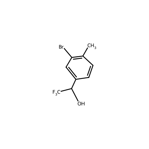 Cc1ccc(C(O)C(F)(F)F)cc1Br